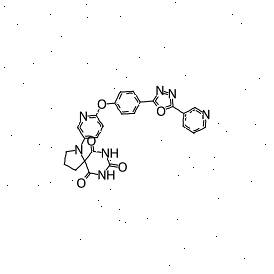 O=C1NC(=O)C2(CCCN2c2ccc(Oc3ccc(-c4nnc(-c5cccnc5)o4)cc3)nc2)C(=O)N1